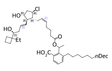 CCCCCCCCCCCCCCCCc1cccc(C(=O)O)c1C(C)OC(=O)CCC/C=C\C[C@@H]1[C@@H](/C=C/C[C@H](O)C2(CC)CCC2)[C@H](O)C[C@H]1Cl